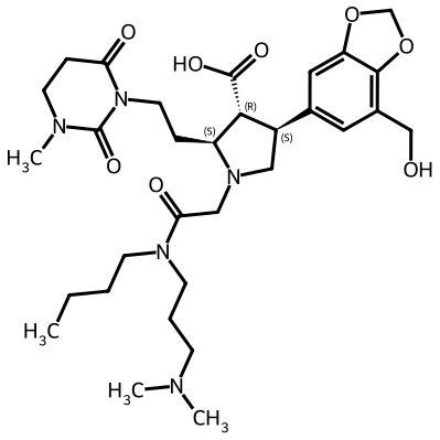 CCCCN(CCCN(C)C)C(=O)CN1C[C@H](c2cc(CO)c3c(c2)OCO3)[C@@H](C(=O)O)[C@@H]1CCN1C(=O)CCN(C)C1=O